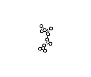 c1ccc(-n2c3ccc(-c4ccc5c(c4)c4ccccc4n5-c4ccc5c6ccccc6c6ccccc6c5c4)cc3c3c4cccc5c4c(cc32)-c2ccccc2-5)cc1